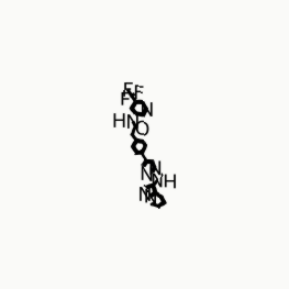 O=C(Cc1ccc(-c2cnc(Nc3cnn4ccccc34)nc2)cc1)Nc1cncc(C(F)(F)F)c1